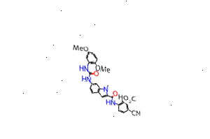 COc1ccc(OC)c(NC(=O)Nc2ccc3cc(C(=O)Nc4ccc(C#N)cc4C(=O)O)n(C)c3c2)c1